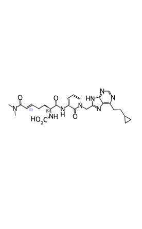 CN(C)C(=O)/C=C/CC[C@H](NC(=O)O)C(=O)Nc1cccn(Cc2nc3c(CCC4CC4)ncnc3[nH]2)c1=O